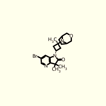 CC1(C)C(=O)N([C@H]2C[C@@](C)(N3C4CCC3COC4)C2)c2cc(Br)cnc21